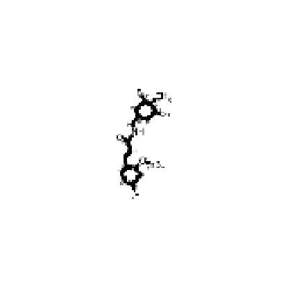 CCCCOc1cc(F)ccc1/C=C/C(=O)NCc1cc(F)c(C)c(F)c1